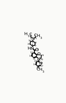 CCN(CC)C1CCC(NC(=O)c2cccc3c2OCCN3c2ccc(C)cn2)CC1